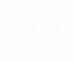 O=C(Nc1cccc(CCBr)c1)C1CCCCC12OCCO2